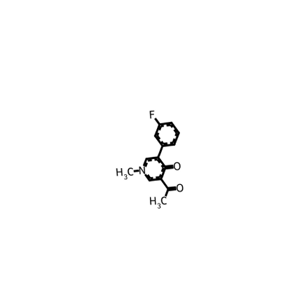 CC(=O)c1cn(C)cc(-c2cccc(F)c2)c1=O